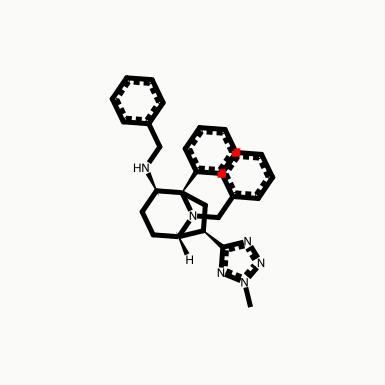 Cn1nnc([C@@H]2C[C@@]3(c4ccccc4)[C@H](NCc4ccccc4)CC[C@@H]2N3Cc2ccccc2)n1